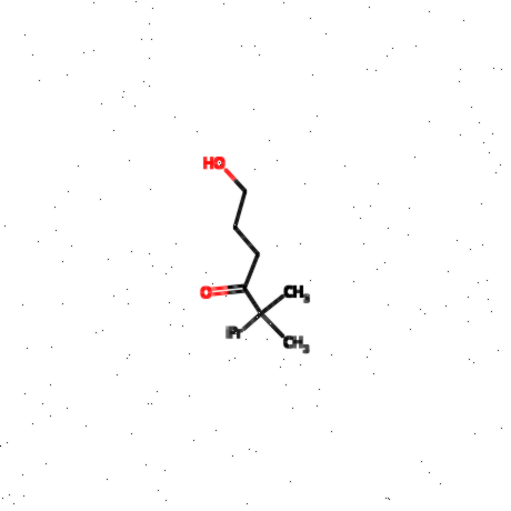 CC(C)C(C)(C)C(=O)CCCO